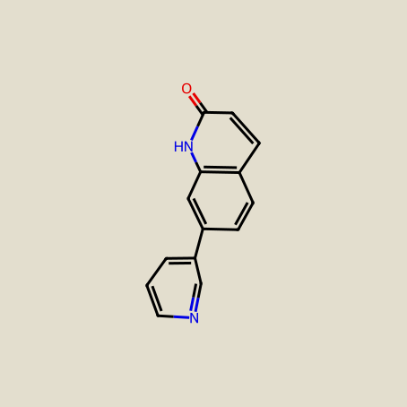 O=c1ccc2ccc(-c3cccnc3)cc2[nH]1